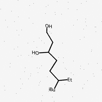 CCC(C)C(CC)CCC(O)CCO